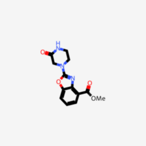 COC(=O)c1cccc2oc(N3CCNC(=O)C3)nc12